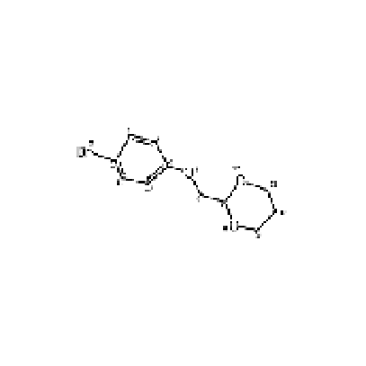 Brc1ccc(OCC2OCCCO2)cc1